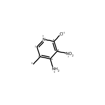 Cc1cnc(Cl)c([N+](=O)[O-])c1N